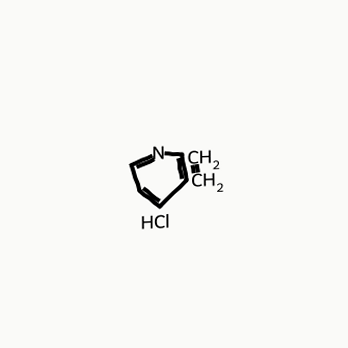 C=C.Cl.c1ccncc1